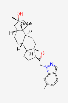 COC[C@]12CC[C@@](C)(O)C[C@H]1CC[C@H]1[C@@H]3CC[C@H](C(=O)Cn4ncc5ccc(C)cc54)[C@@]3(C)CC[C@@H]12